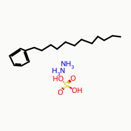 CCCCCCCCCCCCc1ccccc1.N.N.O=S(=O)(O)O